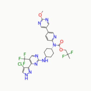 COc1ncc(-c2ccc(N(C(=O)OCC(C)(F)F)[C@H]3CC[C@H](Nc4ncc(C(F)(F)F)c(-c5n[nH]cc5Cl)n4)CC3)nc2)cn1